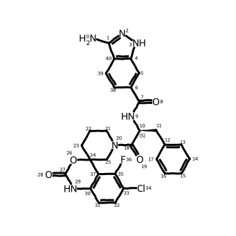 Nc1n[nH]c2cc(C(=O)N[C@@H](Cc3ccccc3)C(=O)N3CCCC4(C3)OC(=O)Nc3ccc(Cl)c(F)c34)ccc12